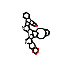 c1cc2cc(c1)CCc1cc(c3c4c5c(ncc4n4c6cnc7c(c6c1c34)C13c4ccccc4C1c1ccccc1C73)C1c3ccccc3C5c3ccccc31)CC2